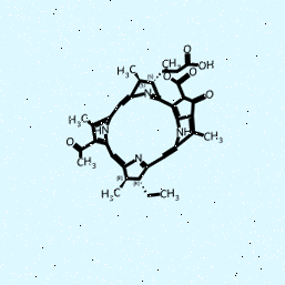 CC[C@H]1c2cc3[nH]c4c(c3C)C(=O)C(C(=O)OC)c4c3nc(cc4[nH]c(cc(n2)[C@@H]1C)c(C(C)=O)c4C)[C@@H](C)[C@@H]3CCC(=O)O